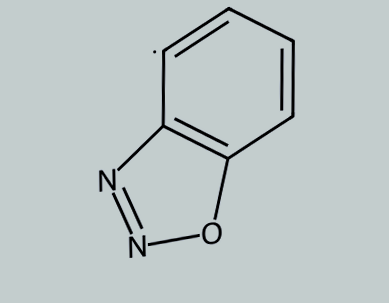 [c]1cccc2onnc12